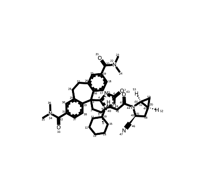 C[C@H](CC1(c2nc(=O)on2C2CCCCC2)c2ccc(C(=O)N(C)C)cc2CCc2cc(C(=O)N(C)C)ccc21)NCC(=O)N1[C@H](C#N)C[C@@H]2C[C@@H]21